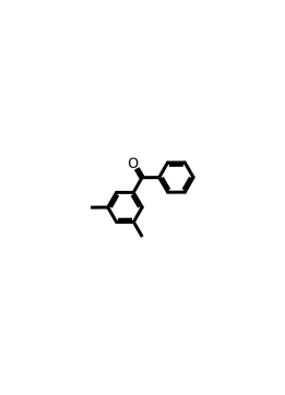 Cc1cc(C)cc(C(=O)c2ccccc2)c1